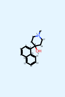 CN1CCC(O)(c2cccc3ccccc23)CC1